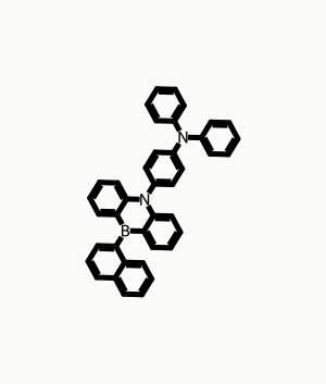 c1ccc(N(c2ccccc2)c2ccc(N3c4ccccc4B(c4cccc5ccccc45)c4ccccc43)cc2)cc1